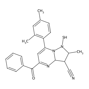 Cc1ccc(C2=CC(C(=O)c3ccccc3)=NC3C(C#N)C(C)N(S)N23)c(C)c1